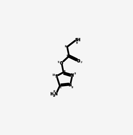 Nc1nnc(OC(=O)CS)s1